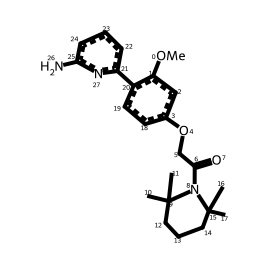 COc1cc(OCC(=O)N2C(C)(C)CCCC2(C)C)ccc1-c1cccc(N)n1